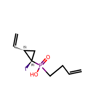 C=CCCP(=O)(O)[C@@]1(I)C[C@H]1C=C